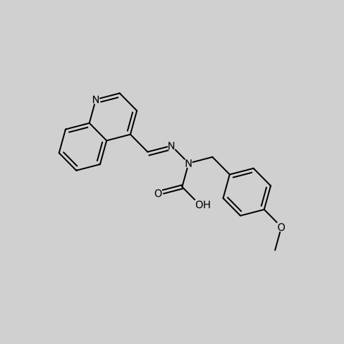 COc1ccc(CN(N=Cc2ccnc3ccccc23)C(=O)O)cc1